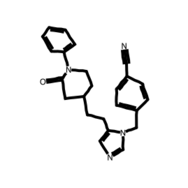 N#Cc1ccc(Cn2cncc2CCC2CCN(c3ccccc3)C(=O)C2)cc1